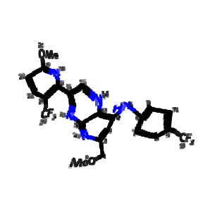 COCc1cc(Nc2ccc(C(F)(F)F)cc2)c2ncc(-c3nc(OC)ccc3C(F)(F)F)nc2n1